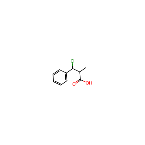 CC(C(=O)O)C(Cl)c1ccccc1